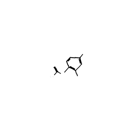 CCC(=O)Oc1ccc(CC)cc1CC